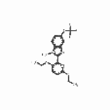 CCSc1ccc(SCC)c(-c2nc3cc(SC(F)(F)F)ccc3n2C)n1